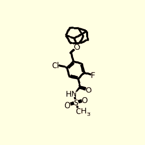 CS(=O)(=O)NC(=O)c1cc(Cl)c(COC2C3CC4CC(C3)C2C4)cc1F